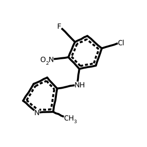 Cc1ncccc1Nc1cc(Cl)cc(F)c1[N+](=O)[O-]